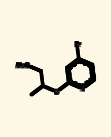 COCC(C)Oc1cc(Br)ccn1